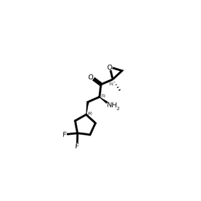 C[C@@]1(C(=O)[C@@H](N)C[C@H]2CCC(F)(F)C2)CO1